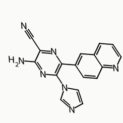 N#Cc1nc(-c2ccc3ncccc3c2)c(-n2ccnc2)nc1N